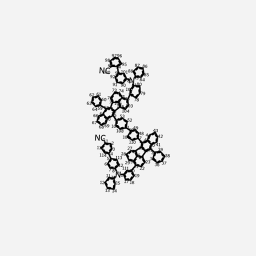 N#Cc1ccc(-c2ccc(N(c3ccccc3)c3cccc(-c4ccc5c6c(cccc46)-c4c-5c(-c5ccccc5)c5ccccc5c4-c4ccc(-c5ccc(-c6c7c(c(-c8ccccc8)c8ccccc68)-c6cccc8c(-c9cccc(N(c%10ccccc%10)c%10cccc(-c%11ccccc%11C#N)c%10)c9)ccc-7c68)cc5)cc4)c3)cc2)cc1